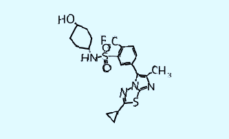 Cc1nc2sc(C3CC3)nn2c1-c1ccc(C(F)(F)F)c(S(=O)(=O)N[C@H]2CC[C@H](O)CC2)c1